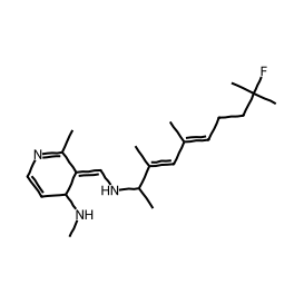 CNC1C=CN=C(C)/C1=C/NC(C)/C(C)=C/C(C)=C/CCC(C)(C)F